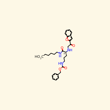 O=C(O)CCCCCNC(=O)[C@H](CCCNC(=O)OCc1ccccc1)NCC(=O)c1cc2ccccc2o1